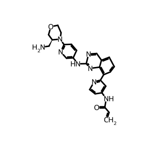 C=CC(=O)Nc1ccnc(-c2cccc3cnc(Nc4ccc(N5CCOC[C@@H]5CN)nc4)nc23)c1